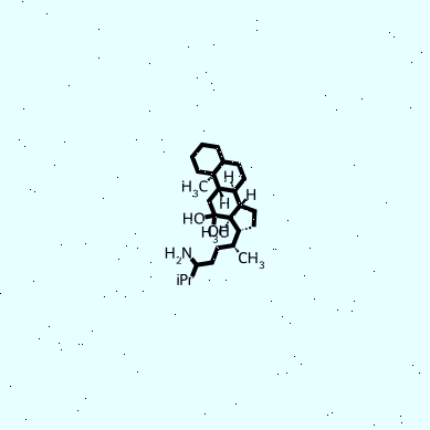 CC(C)C(N)CC[C@@H](C)[C@H]1CC[C@H]2[C@@H]3CCC4CCCC[C@]4(C)[C@H]3CC(O)(O)[C@]12C